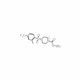 Cc1cc(C(F)(F)F)ccc1S(=O)(=O)N1CCN(C(=O)OC(C)(C)C)[C@@H](C)C1